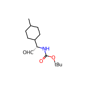 CC1CCC([C@@H](C=O)NC(=O)OC(C)(C)C)CC1